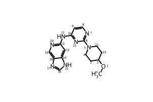 COC1CCN(c2nccc(Nc3cc4[nH]cnc4cn3)n2)CC1